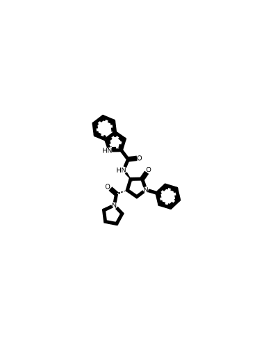 O=C(N[C@H]1C(=O)N(c2ccccc2)C[C@@H]1C(=O)N1CCCC1)c1cc2ccccc2[nH]1